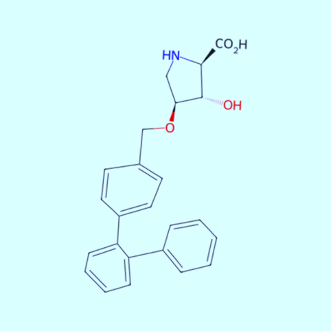 O=C(O)[C@@H]1NC[C@H](OCc2ccc(-c3ccccc3-c3ccccc3)cc2)[C@H]1O